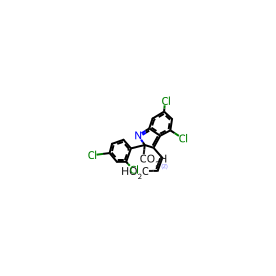 O=C(O)/C=C\C1=c2c(Cl)cc(Cl)cc2=NC1(C(=O)O)c1ccc(Cl)cc1Cl